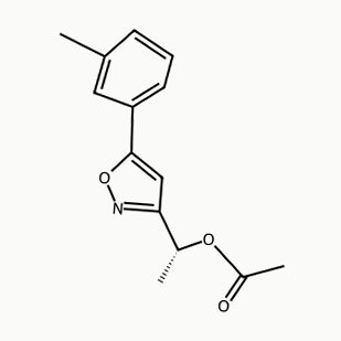 CC(=O)O[C@H](C)c1cc(-c2cccc(C)c2)on1